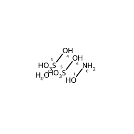 NO.O.O=S(=O)(O)O.O=S(=O)(O)O